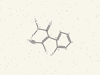 N#CC(F)=C(C(=O)N(F)F)c1ccccc1F